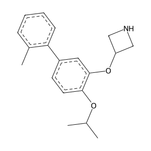 Cc1ccccc1-c1ccc(OC(C)C)c(OC2CNC2)c1